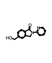 O=C1c2ccc(CO)cc2CN1c1ccccn1